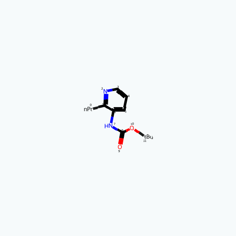 CCCc1ncccc1NC(=O)OC(C)(C)C